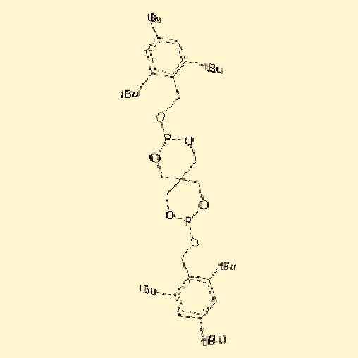 CC(C)(C)c1cc(C(C)(C)C)c(COP2OCC3(CO2)COP(OCc2c(C(C)(C)C)cc(C(C)(C)C)cc2C(C)(C)C)OC3)c(C(C)(C)C)c1